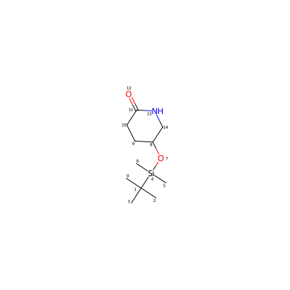 CC(C)(C)[Si](C)(C)OC1CCC(=O)NC1